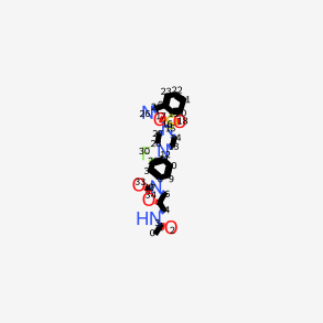 CC(=O)NCC1CN(c2ccc(N3CCN(S(=O)(=O)c4ccccc4C#N)CC3)c(F)c2)C(=O)O1